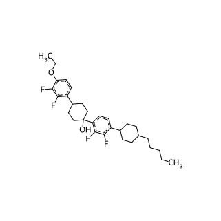 CCCCCC1CCC(c2ccc(C3(O)CCC(c4ccc(OCC)c(F)c4F)CC3)c(F)c2F)CC1